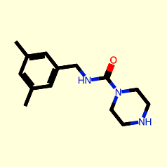 Cc1cc(C)cc(CNC(=O)N2CCNCC2)c1